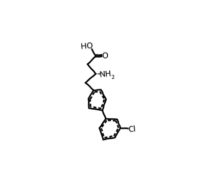 N[C@@H](CC(=O)O)Cc1ccc(-c2cccc(Cl)c2)cc1